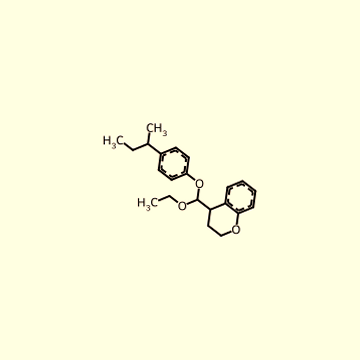 CCOC(Oc1ccc(C(C)CC)cc1)C1CCOc2ccccc21